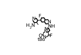 Cc1c(N)cncc1-c1cc2cc(Nc3cc4n(n3)CC(=O)N(C(C)(C)C)C[C@@H]4F)ncc2cc1F